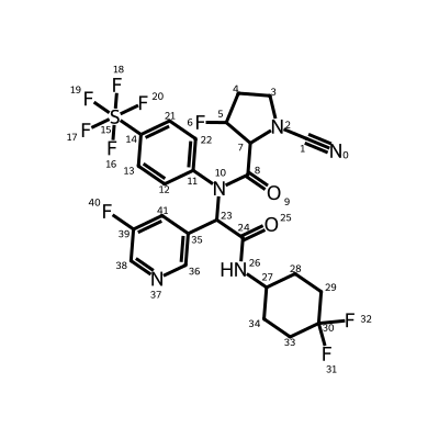 N#CN1CCC(F)C1C(=O)N(c1ccc(S(F)(F)(F)(F)F)cc1)C(C(=O)NC1CCC(F)(F)CC1)c1cncc(F)c1